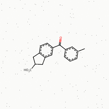 Cc1cccc(C(=O)c2ccc3c(c2)CC(C(=O)O)C3)c1